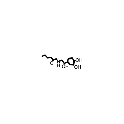 CCCCC(=O)CNCC(O)c1ccc(O)c(O)c1